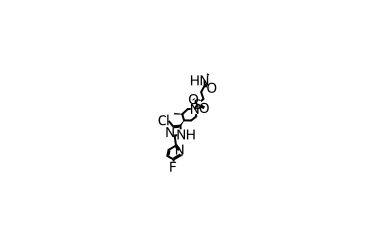 CNC(=O)CCS(=O)(=O)N1CC[C@@H](c2[nH]c(-c3ccc(F)cn3)nc2Cl)[C@@H](C)C1